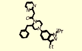 CCc1nn(C(C)C)c2cc(N3CCN(C(=O)Cc4ncccn4)C(Cc4ccccc4)C3)ccc12